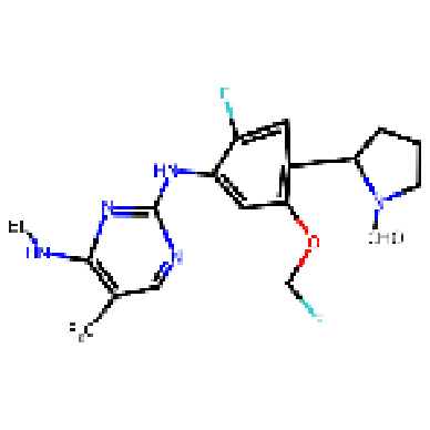 CCNc1nc(Nc2cc(OCF)c(C3CCCN3C=O)cc2F)ncc1C(F)(F)F